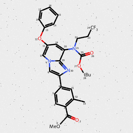 COC(=O)c1ccc(-c2cn3cc(Oc4ccccc4)cc(N(CCC(F)(F)F)C(=O)OC(C)(C)C)c3n2)cc1C